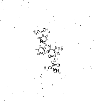 CC(C)c1ccc(C(NC(=O)C2CC(F)CN2C(=O)COC(=O)N(C)C)c2ccccc2)nc1